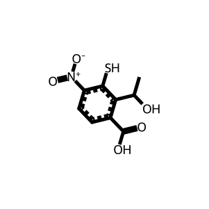 CC(O)c1c(C(=O)O)ccc([N+](=O)[O-])c1S